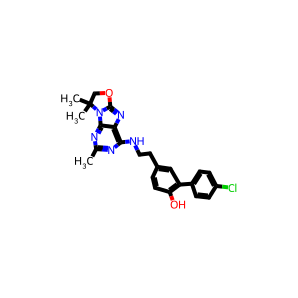 Cc1nc(NCCc2ccc(O)c(-c3ccc(Cl)cc3)c2)c2nc3n(c2n1)C(C)(C)CO3